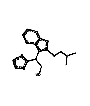 CN(C)CCc1sc2ccccc2c1C(CO)c1nccs1